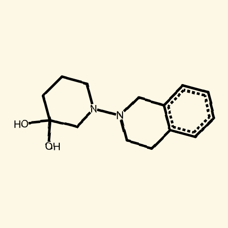 OC1(O)CCCN(N2CCc3ccccc3C2)C1